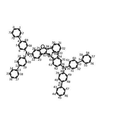 c1ccc(-c2ccc(N(c3ccc(-c4ccccc4)cc3)c3ccc4c(c3)oc3c5cccc6c7cc(N(c8ccc(-c9ccccc9)cc8)c8ccc(-c9ccccc9)cc8)ccc7n(c65)c43)cc2)cc1